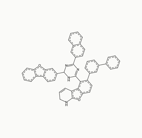 C1=Cc2c(oc3ccc(-c4cccc(-c5ccccc5)c4)c(C4=NC(c5ccc6ccccc6c5)=NC(c5ccc6c(c5)oc5ccccc56)N4)c23)NC1